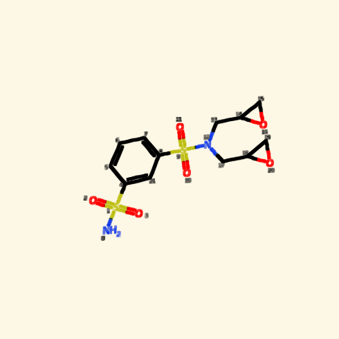 NS(=O)(=O)c1cccc(S(=O)(=O)N(CC2CO2)CC2CO2)c1